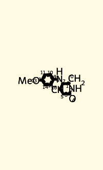 C=C1NC(=O)CCC1Nc1ccc(OC)cc1C